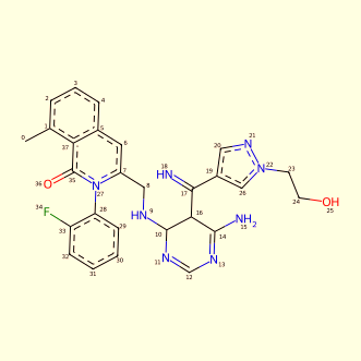 Cc1cccc2cc(CNC3N=CN=C(N)C3C(=N)c3cnn(CCO)c3)n(-c3ccccc3F)c(=O)c12